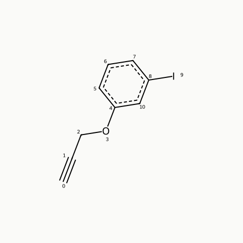 C#CCOc1cccc(I)c1